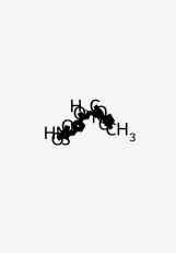 Cc1ccc(-c2nc(CCC(=O)c3ccc(C=C4SC(=O)NC4=O)cc3)c(C)o2)o1